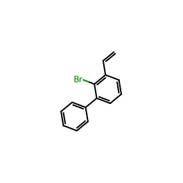 C=Cc1cccc(-c2ccccc2)c1Br